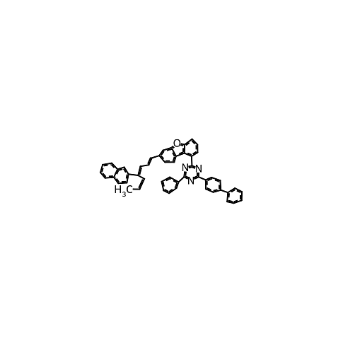 C\C=C/C(=C\C=C\c1ccc2c(c1)oc1cccc(-c3nc(-c4ccccc4)nc(-c4ccc(-c5ccccc5)cc4)n3)c12)c1ccc2ccccc2c1